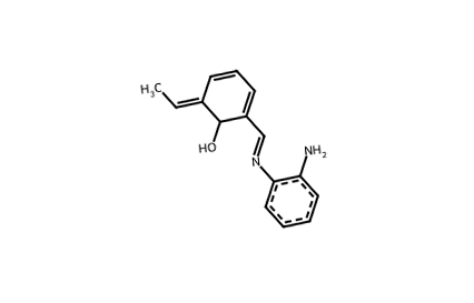 CC=C1C=CC=C(C=Nc2ccccc2N)C1O